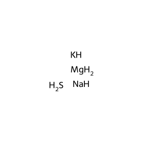 S.[KH].[MgH2].[NaH]